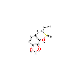 CCC(Cc1ccc2c(c1)OCO2)[S+](C)[O-]